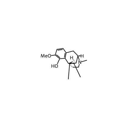 COc1ccc2c(c1O)[C@@]13CCN(C)[C@@H](C2)[C@H]1CC(C)C(C)C3